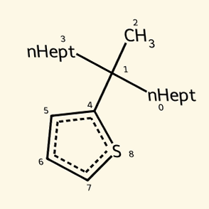 CCCCCCCC(C)(CCCCCCC)c1cccs1